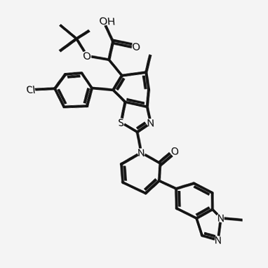 Cc1cc2nc(-n3cccc(-c4ccc5c(cnn5C)c4)c3=O)sc2c(-c2ccc(Cl)cc2)c1C(OC(C)(C)C)C(=O)O